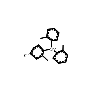 Cc1cccc[c]1[Sn+]([c]1ccccc1C)[c]1ccccc1C.[Cl-]